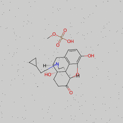 COS(=O)(=O)O.O=C1CC[C@@]2(O)[C@H]3Cc4ccc(O)c5c4[C@@]2(CCN3CC2CC2)[C@H]1O5